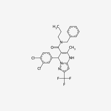 CCCN(Cc1ccccc1)C(=O)C1=C(C)Nc2cc(C(F)(F)F)nn2C1c1ccc(Cl)c(Cl)c1